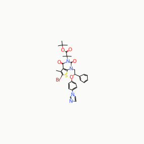 Cc1c(Br)sc2c1c(=O)n(C(C)(C)C(=O)OC(C)(C)C)c(=O)n2CC(Oc1ccc(-n2ccnc2)cc1)c1ccccc1